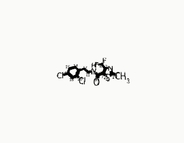 Cc1nc(C(F)F)c(C(=O)NCCc2ccc(Cl)cc2Cl)s1